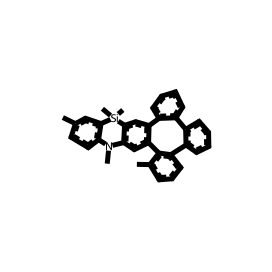 Cc1ccc2c(c1)[Si](C)(C)c1cc3c(cc1N2C)-c1c(C)cccc1-c1ccccc1-c1ccccc1-3